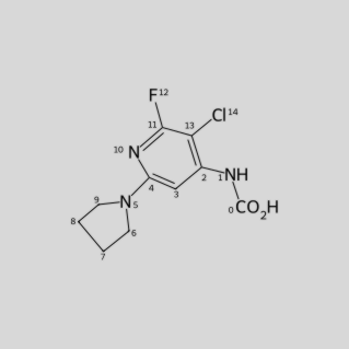 O=C(O)Nc1cc(N2CCCC2)nc(F)c1Cl